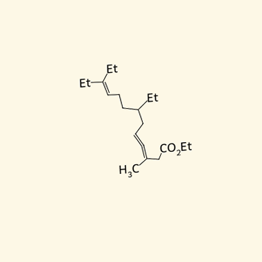 CCOC(=O)CC(C)=C=CCC(CC)CCC=C(CC)CC